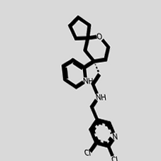 Clc1cc(CNCC[C@@]2(C3=CC=CCN3)CCOC3(CCCC3)C2)cnc1Cl